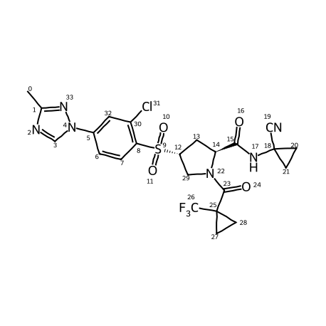 Cc1ncn(-c2ccc(S(=O)(=O)[C@@H]3C[C@@H](C(=O)NC4(C#N)CC4)N(C(=O)C4(C(F)(F)F)CC4)C3)c(Cl)c2)n1